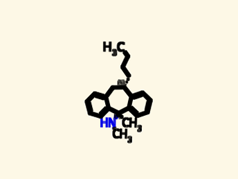 CCCC[C@H]1Cc2ccccc2[C@@](C)(NC)c2ccccc21